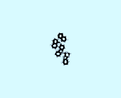 c1ccc2c(N(c3ccc4c(c3)c3ccccc3n4-c3ncnc4c3oc3ccccc34)c3cccc4ccccc34)cccc2c1